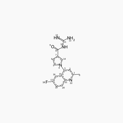 Cc1cc(-n2ccc(C(=O)NC(=N)N)c2)c2cc(F)ccc2n1